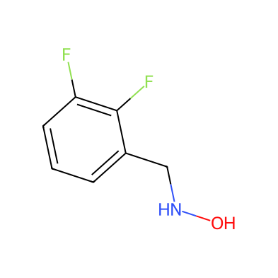 ONCc1cccc(F)c1F